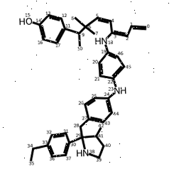 C=C/C=C(\C=C/C(C)(C)C(C)c1ccc(O)cc1)Nc1ccc(Nc2ccc(CC3(c4ccc(CC)cc4)NCCC3C)cc2)cc1